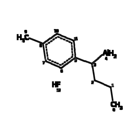 CCC[CH]([AlH2])c1ccc(C)cc1.F